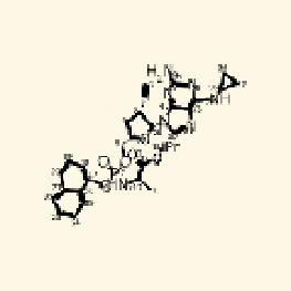 C#C[C@H]1C[C@@H](CO[P@@](=O)(N[C@H](C)C(=O)OC(C)C)Oc2cccc3ccccc23)O[C@H]1n1cnc2c(NC3CC3)nc(N)nc21